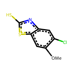 COc1cc2sc(S)nc2cc1Cl